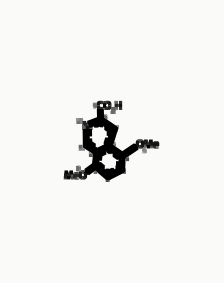 COc1ccc(OC)c2cc(C(=O)O)ncc12